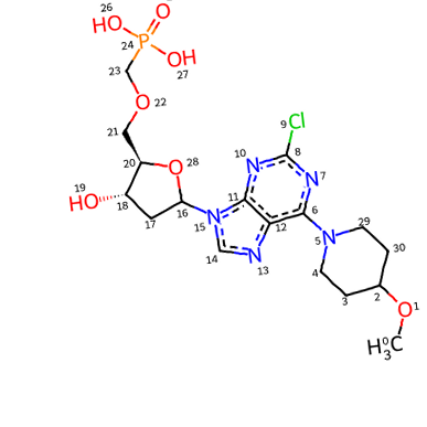 COC1CCN(c2nc(Cl)nc3c2ncn3C2C[C@H](O)[C@@H](COCP(=O)(O)O)O2)CC1